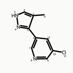 Cc1c[nH]nc1-c1cncc(Cl)c1